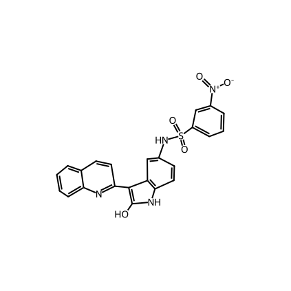 O=[N+]([O-])c1cccc(S(=O)(=O)Nc2ccc3[nH]c(O)c(-c4ccc5ccccc5n4)c3c2)c1